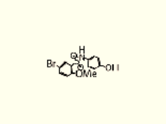 COc1ccc(Br)cc1S(=O)(=O)Nc1ccc(O)cc1